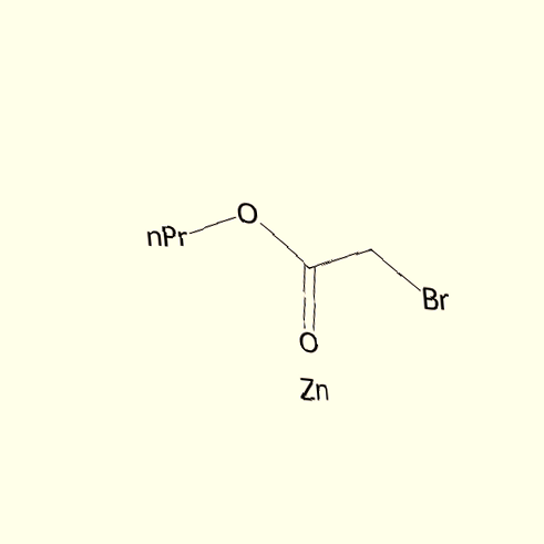 CCCOC(=O)CBr.[Zn]